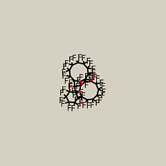 FC1(F)C(F)(F)C(F)(F)C(F)(F)C(F)(F)C(F)(C(F)(C2(F)C(F)(F)C(F)(F)C(F)(F)C(F)(F)C(F)(F)C(F)(F)C(F)(F)C(F)(F)C2(F)F)C2(F)C(F)(F)C(F)(F)C(F)(F)C(F)(F)C2(F)F)C(F)(F)C(F)(F)C(F)(F)C1(F)F